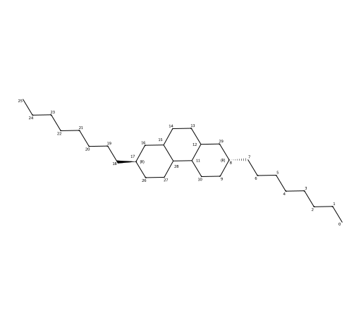 CCCCCCCC[C@@H]1CCC2C(CCC3C[C@H](CCCCCCCC)CCC32)C1